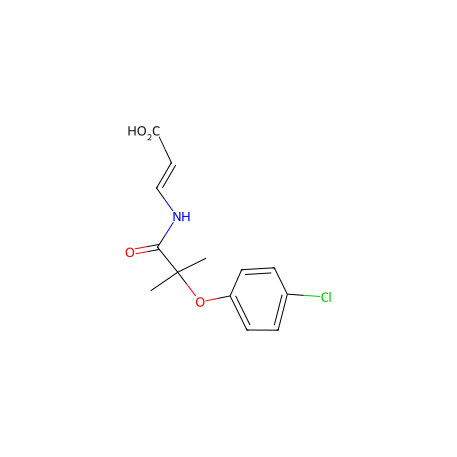 CC(C)(Oc1ccc(Cl)cc1)C(=O)NC=CC(=O)O